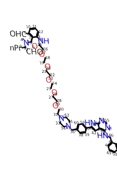 CCCC(C=O)N(C)C(=O)c1c(C=O)cccc1NCCOCCOCCOCCOCCOCCN1CCN(Cc2ccc(-c3cc4c(NCc5ccccc5Cl)ncnc4[nH]3)cc2)CC1